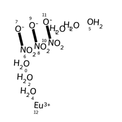 O.O.O.O.O.O.O=[N+]([O-])[O-].O=[N+]([O-])[O-].O=[N+]([O-])[O-].[Eu+3]